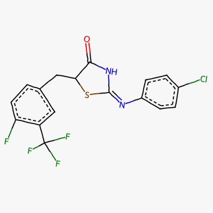 O=C1N/C(=N\c2ccc(Cl)cc2)SC1Cc1ccc(F)c(C(F)(F)F)c1